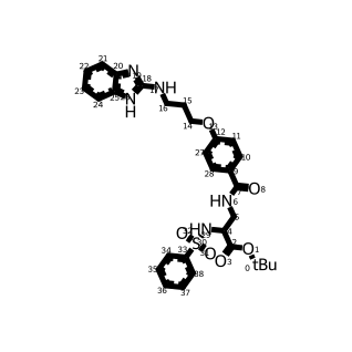 CC(C)(C)OC(=O)C(CNC(=O)c1ccc(OCCCNc2nc3ccccc3[nH]2)cc1)NS(=O)(=O)c1ccccc1